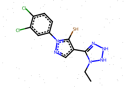 CCN1NNN=C1c1cnn(-c2ccc(Cl)c(Cl)c2)c1S